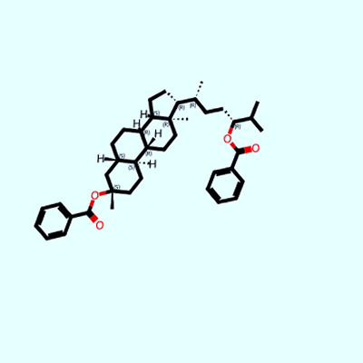 CC(C)[C@@H](CC[C@@H](C)[C@H]1CC[C@H]2[C@@H]3CC[C@H]4C[C@@](C)(OC(=O)c5ccccc5)CC[C@@H]4[C@H]3CC[C@]12C)OC(=O)c1ccccc1